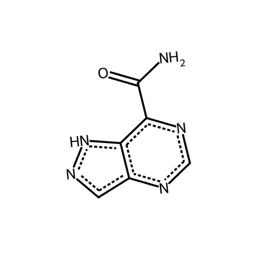 NC(=O)c1ncnc2cn[nH]c12